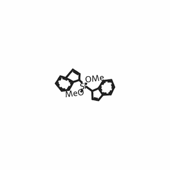 CO[Si](OC)(C1C=Cc2ccccc21)C1C=Cc2ccccc21